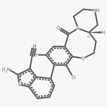 N#Cc1c(N)sc2cccc(-c3c(F)cc4c(c3Cl)OCC[C@H]3CNCCN3C4=O)c12